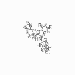 CCN(C)S(=O)(=O)NC(=O)N[C@@H](Cc1cc(F)cc(F)c1)C(=O)N(C)c1ccc2scnc2c1